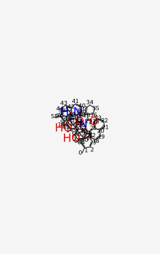 Cc1cccc(C(O)(c2cccc(C)c2)[C@H](c2cccc3ccccc23)N(C(=O)C2(C(N)=O)CCCC2)[C@@H](c2cccc3ccccc23)C(O)(c2cccc(C)c2)c2cccc(C)c2)c1